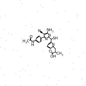 CC(=O)Nc1ccc(-c2nc(C(S)c3cccc(CC(C)C(=O)O)n3)nc(N)c2C#N)cc1